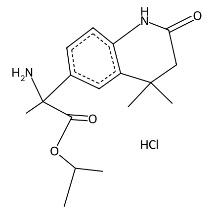 CC(C)OC(=O)C(C)(N)c1ccc2c(c1)C(C)(C)CC(=O)N2.Cl